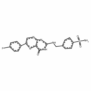 NS(=O)(=O)c1ccc(CNc2nc3ncc(-c4ccc(F)cc4)nc3c(=O)[nH]2)cc1